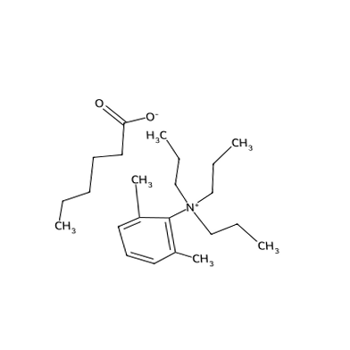 CCCCCC(=O)[O-].CCC[N+](CCC)(CCC)c1c(C)cccc1C